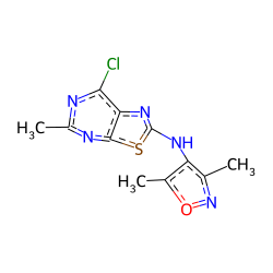 Cc1nc(Cl)c2nc(Nc3c(C)noc3C)sc2n1